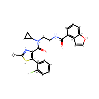 Cc1nc(C(=O)N(CCNC(=O)c2cccc3occc23)C2CC2)c(-c2ccccc2F)s1